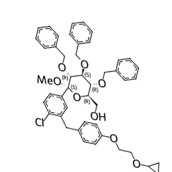 CO[C@@]1(c2ccc(Cl)c(Cc3ccc(OCCOC4CC4)cc3)c2)O[C@H](CO)[C@@H](OCc2ccccc2)[C@H](OCc2ccccc2)[C@H]1OCc1ccccc1